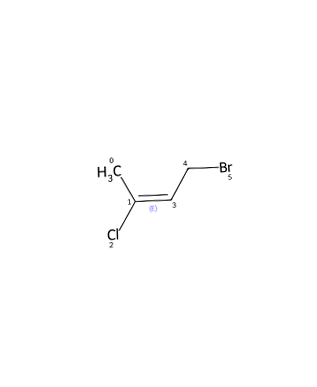 C/C(Cl)=C\CBr